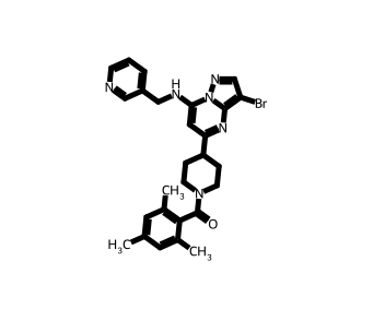 Cc1cc(C)c(C(=O)N2CCC(c3cc(NCc4cccnc4)n4ncc(Br)c4n3)CC2)c(C)c1